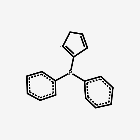 [C]1=C(P(c2ccccc2)c2ccccc2)C=CC1